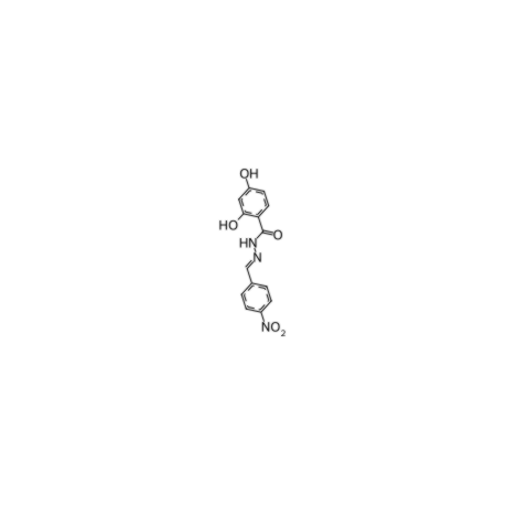 O=C(N/N=C/c1ccc([N+](=O)[O-])cc1)c1ccc(O)cc1O